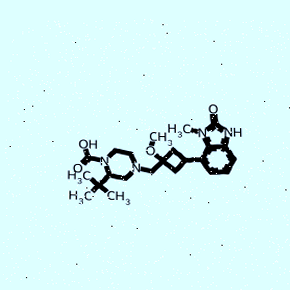 COC1(CN2CCN(C(=O)O)C(C(C)(C)C)C2)CC(c2cccc3[nH]c(=O)n(C)c23)C1